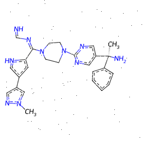 Cn1cc(-c2c[nH]c(/C(=N\C=N)N3CCN(c4ncc([C@@](C)(N)c5ccccc5)cn4)CC3)c2)cn1